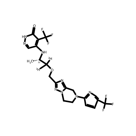 [2H]C([2H])(OCc1nc2n(n1)CCN(c1ccc(C(F)(F)F)cn1)C2)[C@H](C)Nc1cn[nH]c(=O)c1C(F)(F)F